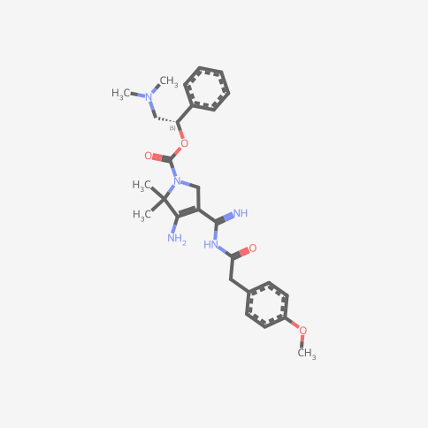 COc1ccc(CC(=O)NC(=N)C2=C(N)C(C)(C)N(C(=O)O[C@H](CN(C)C)c3ccccc3)C2)cc1